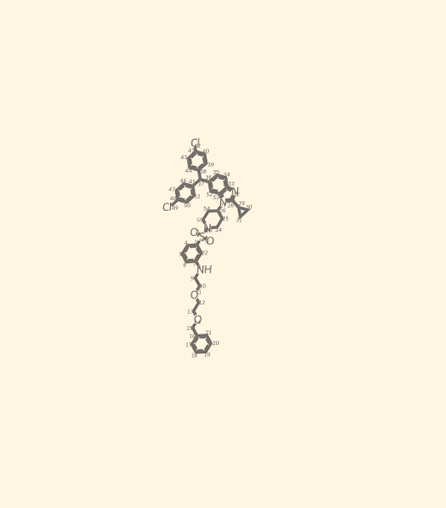 O=S(=O)(c1cccc(NCCOCCOCc2ccccc2)c1)N1CCC(n2c(C3CC3)nc3ccc(C(c4ccc(Cl)cc4)c4ccc(Cl)cc4)cc32)CC1